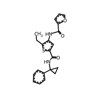 CCc1sc(C(=O)NC2(c3ccccc3)CC2)cc1NC(=O)c1ccco1